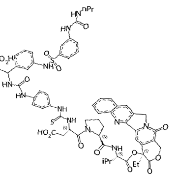 CCCNC(=O)Nc1cccc(S(=O)(=O)Nc2cccc(C(CC(=O)O)NC(=O)Nc3ccc(NC(=S)N[C@@H](CC(=O)O)C(=O)N4CCC[C@H]4C(=O)N[C@H](C(=O)O[C@]4(CC)C(=O)OCc5c4cc4n(c5=O)Cc5cc6ccccc6nc5-4)C(C)C)cc3)c2)c1